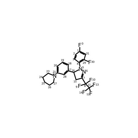 Fc1ccc(N2N=C(C(F)(F)C(F)(F)F)CC2c2cccc(N3CCCCC3)c2)c(F)c1